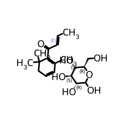 C/C=C/C(=O)C1=C(C)C=CCC1(C)C.OC[C@H]1OC(O)[C@H](O)[C@@H](O)[C@@H]1O